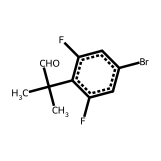 CC(C)(C=O)c1c(F)cc(Br)cc1F